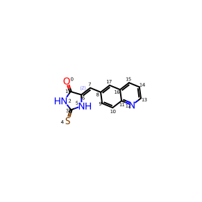 O=C1NC(=S)N/C1=C\c1ccc2ncccc2c1